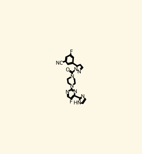 N#Cc1cc(F)cc(C2CC=NN2C(=O)N2CCN(c3ncc(F)c(-c4ncc[nH]4)n3)CC2)c1